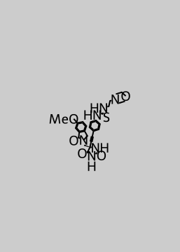 COc1ccc2c(c1)C(=O)N(C[C@@]1(C#Cc3ccc(NC(=S)NCCN4CCOCC4)cc3)NC(=O)NC1=O)C2